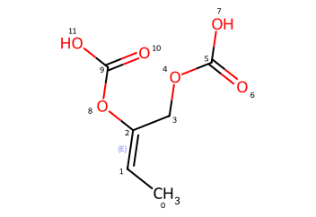 C/C=C(\COC(=O)O)OC(=O)O